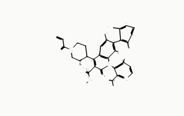 C=CC(=O)N1CCC(c2c(C(=O)NC)c(=O)n(-c3c(C)ccnc3C(C)C)c3c(F)c(-c4c(O)cccc4F)c(Cl)cc23)[C@@H](C)C1